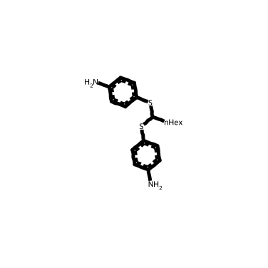 CCCCCCC(Sc1ccc(N)cc1)Sc1ccc(N)cc1